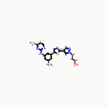 Cc1cc(Nc2nccc(C(F)(F)F)n2)cc(-c2cnc(-c3cnn(CCCO)c3)s2)c1